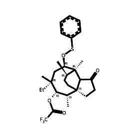 CC[C@]1(C)C[C@@H](OSc2ccccc2)[C@@]2(C)C3C(=O)CC[C@@]3(CC[C@H]2C)[C@H](C)[C@@H]1OC(=O)C(F)(F)F